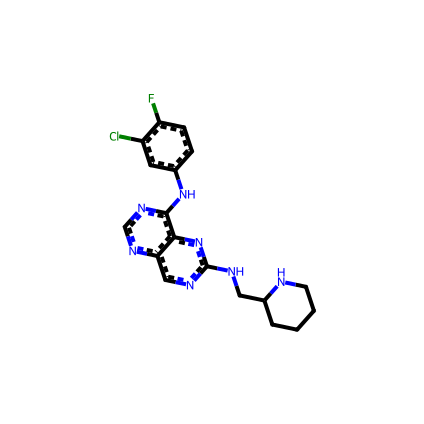 Fc1ccc(Nc2ncnc3cnc(NCC4CCCCN4)nc23)cc1Cl